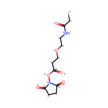 O=C(CI)NCCOCCC(=O)ON1C(=O)CCC1=O